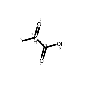 C[PH](=O)C(=O)O